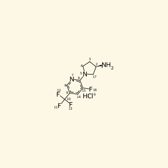 Cl.N[C@@H]1CCN(c2ncc(C(F)(F)F)cc2F)C1